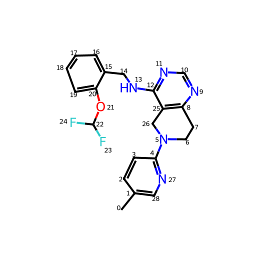 Cc1ccc(N2CCc3ncnc(NCc4ccccc4OC(F)F)c3C2)nc1